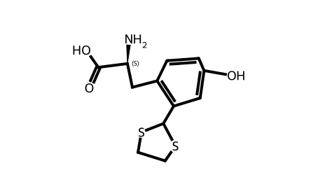 N[C@@H](Cc1ccc(O)cc1C1SCCS1)C(=O)O